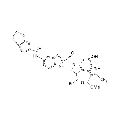 COC(=O)c1c(C(F)(F)F)[nH]c2c(O)cc3c(c12)C(CBr)CN3C(=O)c1cc2cc(NC(=O)c3cnc4ccccc4c3)ccc2[nH]1